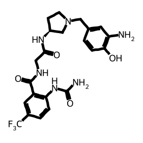 NC(=O)Nc1ccc(C(F)(F)F)cc1C(=O)NCC(=O)N[C@H]1CCN(Cc2ccc(O)c(N)c2)C1